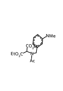 CCOC(=O)C(C(=O)OCC)N(Cc1cccc(NC)c1)C(C)=O